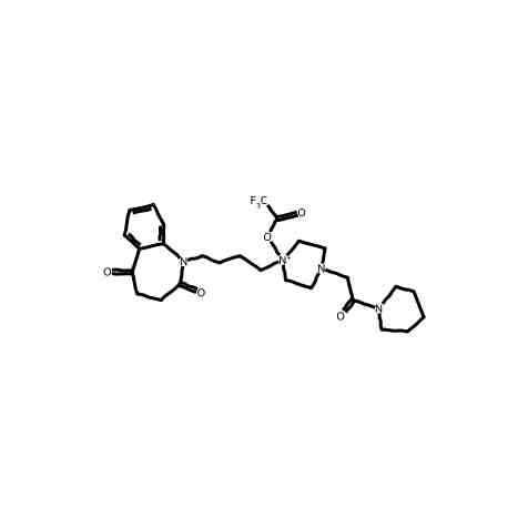 O=C1CCC(=O)N(CCCC[N+]2(OC(=O)C(F)(F)F)CCN(CC(=O)N3CCCCC3)CC2)c2ccccc21